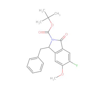 COc1cc2c(cc1F)C(=O)N(C(=O)OC(C)(C)C)C2Cc1ccccc1